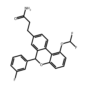 NC(=O)CCc1ccc2c(c1)C(c1cccc(F)c1)Oc1cccc(OC(F)F)c1-2